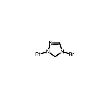 CCN1CN(Br)[C]=N1